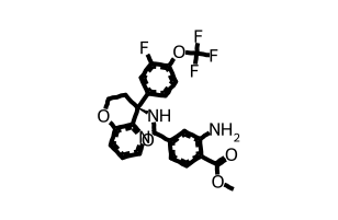 COC(=O)c1ccc(C(=O)N[C@]2(c3ccc(OC(F)(F)F)c(F)c3)CCOc3cccnc32)cc1N